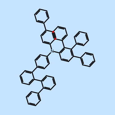 c1ccc(-c2ccc(N(c3ccc(-c4ccccc4-c4ccccc4-c4ccccc4)cc3)c3ccc(-c4ccccc4)c(-c4ccccc4)c3-c3ccccc3)cc2)cc1